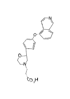 O=C(O)CCN1CCOC(c2ccc(Oc3cccc4cnccc34)cc2)C1